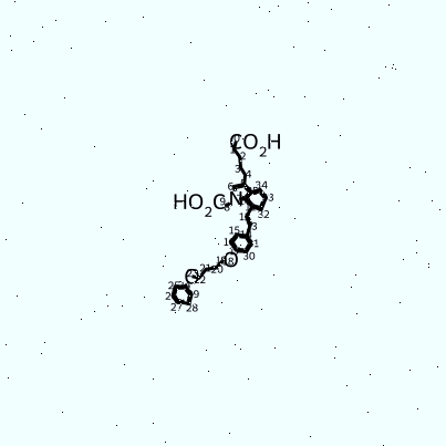 O=C(O)CCCCc1cn(CC(=O)O)c2c(C=Cc3ccc(OCCCCOc4ccccc4)cc3)cccc12